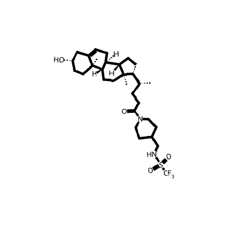 C[C@H](CCC(=O)N1CCC(CNS(=O)(=O)C(F)(F)F)CC1)[C@H]1CC[C@H]2[C@@H]3CC=C4C[C@@H](O)CC[C@]4(C)[C@H]3CC[C@]12C